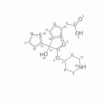 CC(=O)O.O=C(OC1CCNCC1)C(O)(c1cccs1)c1cccs1